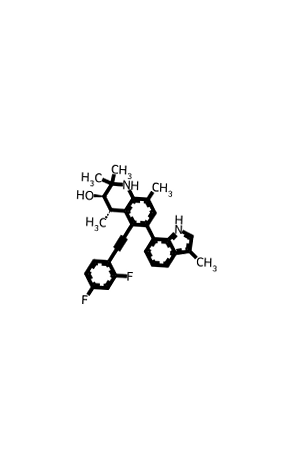 Cc1cc(-c2cccc3c(C)c[nH]c23)c(C#Cc2ccc(F)cc2F)c2c1NC(C)(C)[C@H](O)[C@H]2C